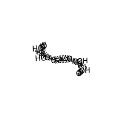 CCCCN(CCC[Si](C)(O)OC)C(O)COCCCOc1ccc(C(C)(C)c2ccc(OCCCOCC(O)N(CCCC)CCC[Si](C)(O)OC)cc2)cc1